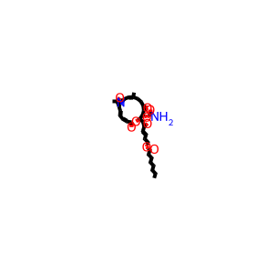 CCCCCCCC(=O)OCC/C=C/C1OC1C1OC(=O)/C=C\C=C\c2nc(oc2C)/C=C(/C)CCC2OC2C1OC(N)=O